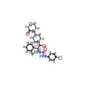 O=C(Nc1ccc(Cl)cc1)NC(C(=O)N1CCC(N2CCOCC2=O)CC1)c1ccccc1F